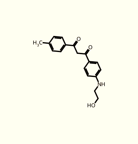 Cc1ccc(C(=O)CC(=O)c2ccc(NCCO)cc2)cc1